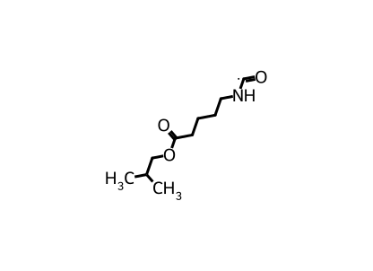 CC(C)COC(=O)CCCCN[C]=O